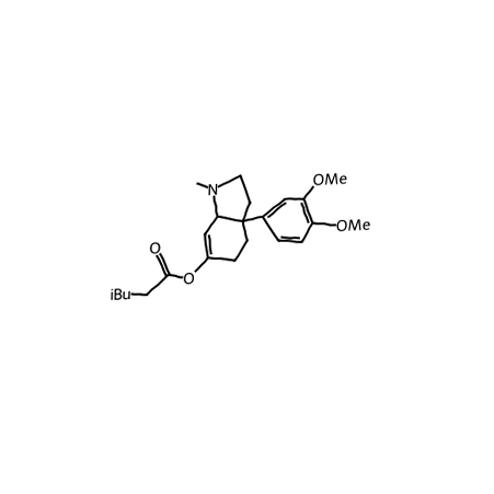 CCC(C)CC(=O)OC1=CC2N(C)CCC2(c2ccc(OC)c(OC)c2)CC1